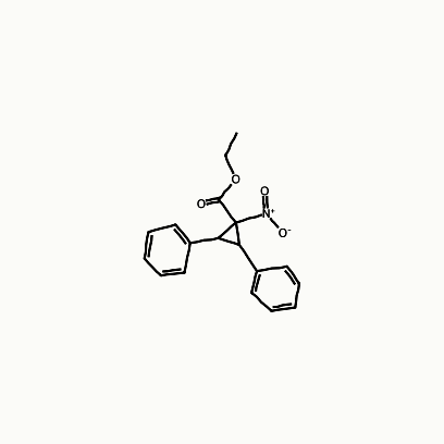 CCOC(=O)C1([N+](=O)[O-])C(c2ccccc2)C1c1ccccc1